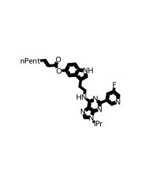 CCCCC/C=C/C(=O)Oc1ccc2[nH]cc(CCNc3nc(-c4cncc(F)c4)nc4c3ncn4C(C)C)c2c1